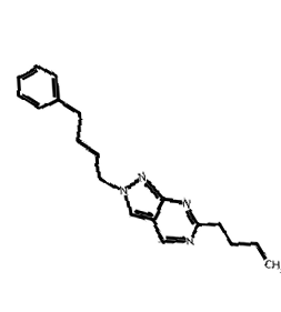 CCCCc1n[c]c2cn(CCCCc3ccccc3)nc2n1